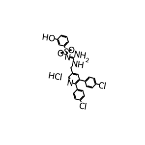 Cl.N/C(=N\S(=O)(=O)c1cccc(O)c1)NCc1cnc(-c2ccc(Cl)cc2)c(-c2ccc(Cl)cc2)c1